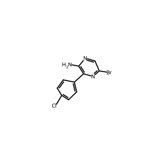 Nc1ncc(Br)nc1-c1ccc(Cl)cc1